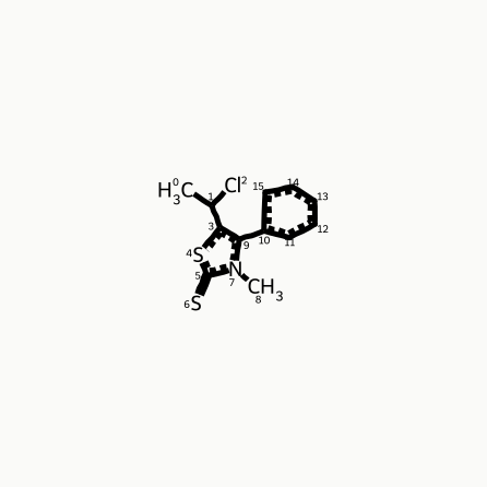 CC(Cl)c1sc(=S)n(C)c1-c1ccccc1